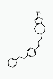 Nc1nc2c(s1)CCN(CC=Cc1ccc(OCc3ccccn3)cc1)CC2